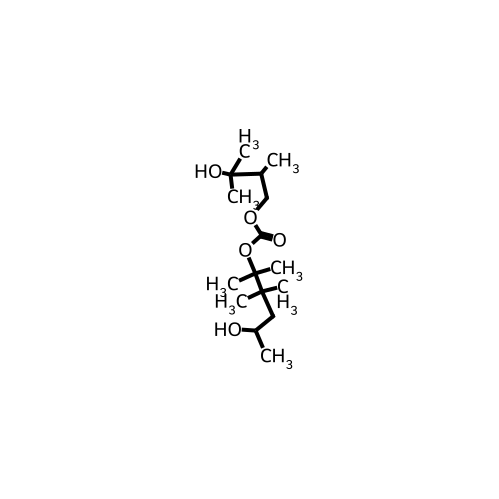 CC(O)CC(C)(C)C(C)(C)OC(=O)OCC(C)C(C)(C)O